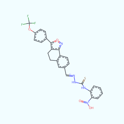 O=[N+](O)c1ccccc1NC(=S)N/N=C/c1ccc2c(c1)CCc1c-2noc1-c1ccc(OC(F)(F)F)cc1